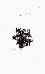 CC(C)(C)OC(=O)NCC1O[C@H](O[C@@H]2C(NC(=O)OC(C)(C)C)O[C@@H](NC(=O)OC(C)(C)C)[C@@H](O[C@H]3OC(CN=[N+]=[N-])[C@@H](O)[C@@H](NC(=O)OC(C)(C)C)C3O)C2O)C(O)[C@@H](O)[C@@H]1O